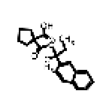 CCC(C)(OC(=O)C1(C(=O)O)CCCC1)c1ccc2ccccc2c1